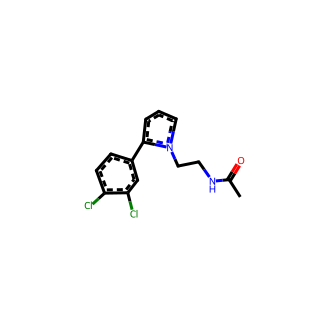 CC(=O)NCCn1cccc1-c1ccc(Cl)c(Cl)c1